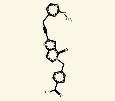 COc1cc(CC#Cc2cc3c(=O)n(Cc4ccc(C(=O)O)cc4)ccc3s2)ccn1